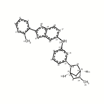 Cc1ncccc1-c1nc2cc(Nc3cccc(N4C[C@@H]5C[C@H]4CN5C)n3)ncc2s1